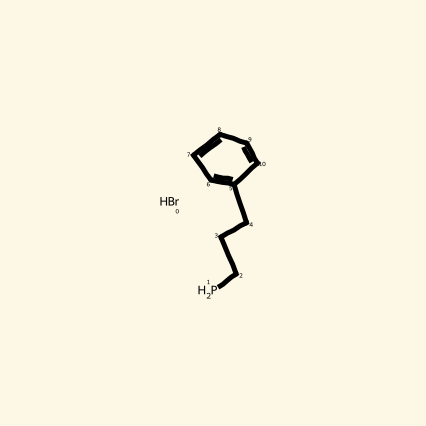 Br.PCCCc1ccccc1